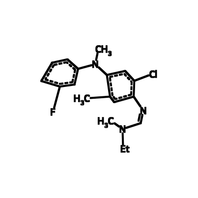 CCN(C)/C=N\c1cc(C)c(N(C)c2cccc(F)c2)cc1Cl